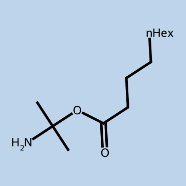 CCCCCCCCCC(=O)OC(C)(C)N